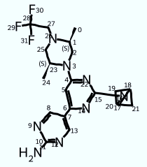 C[C@H]1CN(c2cc(-c3cnc(N)nc3)nc(N3CC4CC3C4)n2)[C@@H](C)CN1CC(F)(F)F